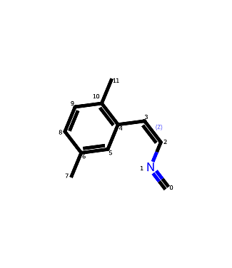 C=N/C=C\c1cc(C)ccc1C